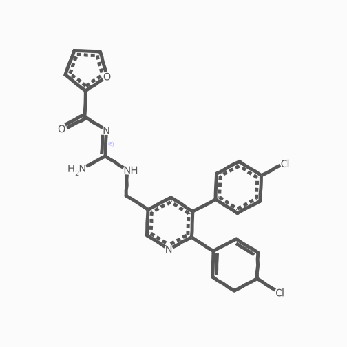 N/C(=N\C(=O)c1ccco1)NCc1cnc(C2=CCC(Cl)C=C2)c(-c2ccc(Cl)cc2)c1